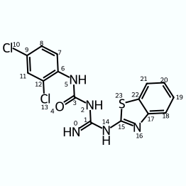 N=C(NC(=O)Nc1ccc(Cl)cc1Cl)Nc1nc2ccccc2s1